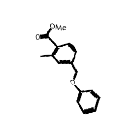 COC(=O)c1ccc(COc2ccccc2)cc1C